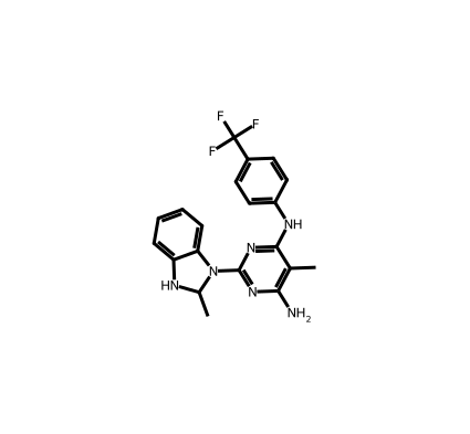 Cc1c(N)nc(N2c3ccccc3NC2C)nc1Nc1ccc(C(F)(F)F)cc1